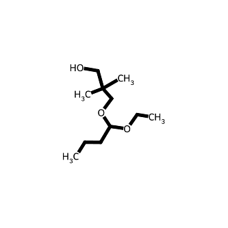 CCCC(OCC)OCC(C)(C)CO